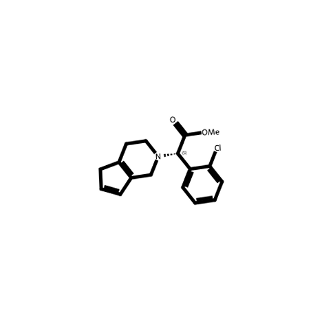 COC(=O)[C@H](c1ccccc1Cl)N1CCC2=C(C=CC2)C1